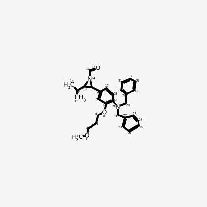 COCCCOc1cc(C2C(C(C)C)N2C=O)ccc1N(Cc1ccccc1)Cc1ccccc1